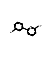 CC(C)c1cccc(-c2cccc(Cl)c2)n1